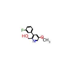 COc1cnc(CO)c(-c2cccc(F)c2)c1